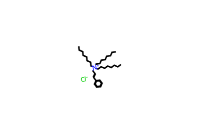 CCCCCCCC[N+](CC=Cc1ccccc1)(CCCCCCCC)CCCCCCCC.[Cl-]